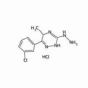 CC1N=C(NN)NN=C1c1cccc(Cl)c1.Cl